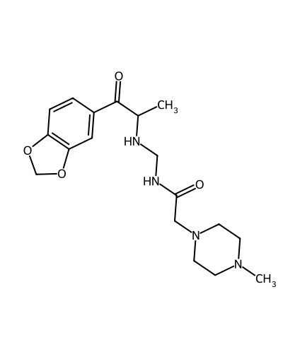 CC(NCNC(=O)CN1CCN(C)CC1)C(=O)c1ccc2c(c1)OCO2